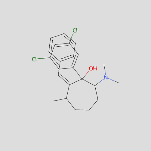 CC1CCCC(N(C)C)C(O)(c2cc(Cl)cc(Cl)c2)C1=Cc1ccccc1